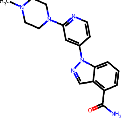 CN1CCN(c2cc(-n3ncc4c(C(N)=O)cccc43)ccn2)CC1